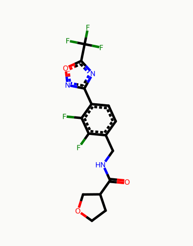 O=C(NCc1ccc(-c2noc(C(F)(F)F)n2)c(F)c1F)C1CCOC1